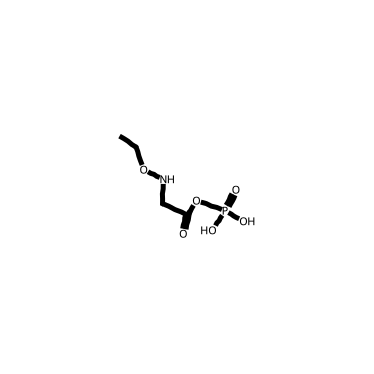 CCONCC(=O)OP(=O)(O)O